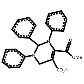 COC(=O)C1=C(C(=O)O)CN(c2ccccc2)C(c2ccccc2)N1c1ccccc1